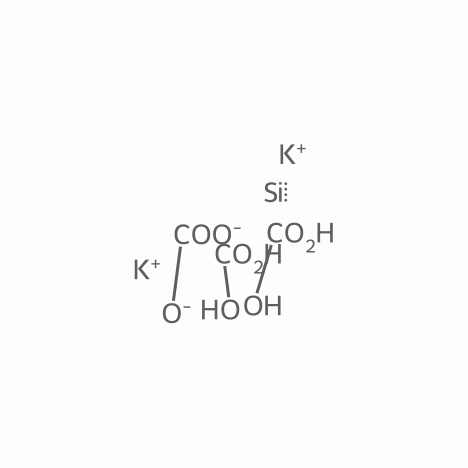 O=C(O)O.O=C(O)O.O=C([O-])[O-].[K+].[K+].[Si]